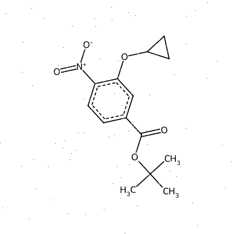 CC(C)(C)OC(=O)c1ccc([N+](=O)[O-])c(OC2CC2)c1